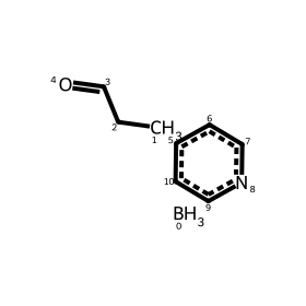 B.CCC=O.c1ccncc1